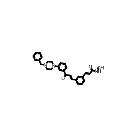 O=C(C=Cc1cccc(C=CC(=O)c2cccc(N3CCN(Cc4ccccc4)CC3)c2)c1)NO